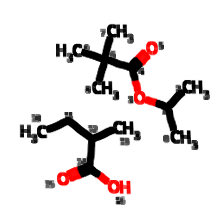 CC(C)OC(=O)C(C)(C)C.CCC(C)C(=O)O